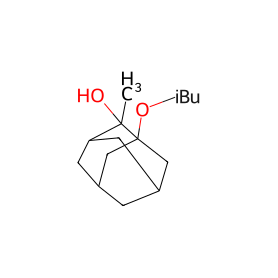 CCC(C)OC12CC3CC(CC(C3)C1(C)O)C2